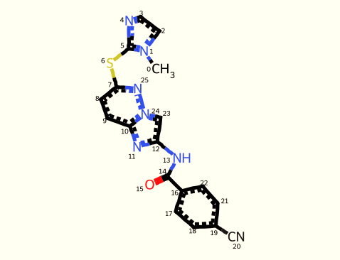 Cn1ccnc1Sc1ccc2nc(NC(=O)c3ccc(C#N)cc3)cn2n1